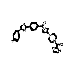 O=C(c1ccc(-c2nc(-c3ccc(F)cc3)cs2)cc1)N1CC(N2CCN(C(=O)c3nccs3)CC2)C1